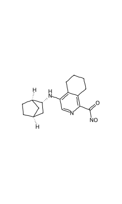 O=NC(=O)c1ncc(N[C@@H]2C[C@H]3CC[C@@H]2C3)c2c1CCCC2